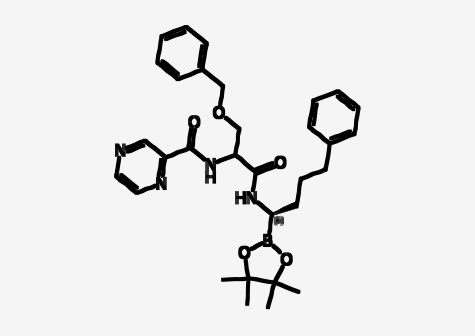 CC1(C)OB([C@H](CCCc2ccccc2)NC(=O)C(COCc2ccccc2)NC(=O)c2cnccn2)OC1(C)C